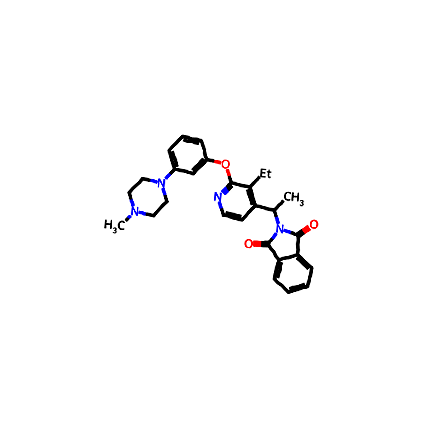 CCc1c(C(C)N2C(=O)c3ccccc3C2=O)ccnc1Oc1cccc(N2CCN(C)CC2)c1